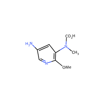 COc1ncc(N)cc1N(C)C(=O)O